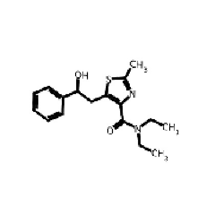 CCN(CC)C(=O)c1nc(C)sc1CC(O)c1ccccc1